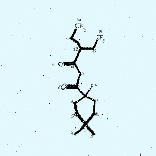 CC1(C)CCC(F)(C(=O)CC(=O)C(CC(F)(F)F)CC(F)(F)F)CC1